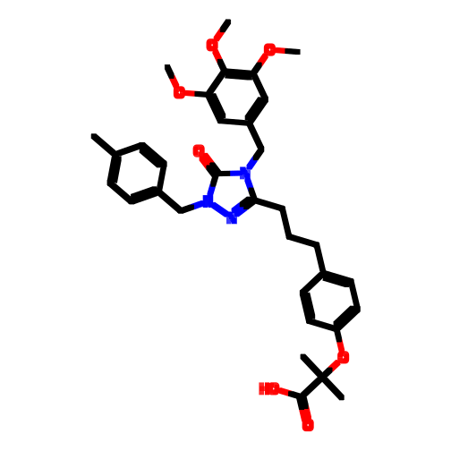 COc1cc(Cn2c(CCCc3ccc(OC(C)(C)C(=O)O)cc3)nn(Cc3ccc(C)cc3)c2=O)cc(OC)c1OC